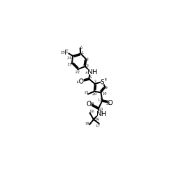 Cc1cc(NC(=O)c2scc(C(=O)C(=O)NC(C)(C)C)c2C)ccc1F